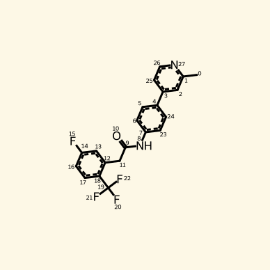 Cc1cc(-c2ccc(NC(=O)Cc3cc(F)ccc3C(F)(F)F)cc2)ccn1